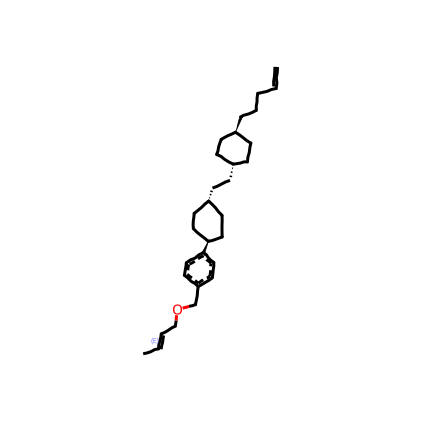 C=CCCC[C@H]1CC[C@H](CC[C@H]2CC[C@H](c3ccc(COC/C=C/C)cc3)CC2)CC1